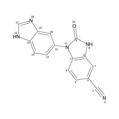 N#Cc1ccc2c(c1)[nH]c(=O)n2-c1ccc2[nH]cnc2c1